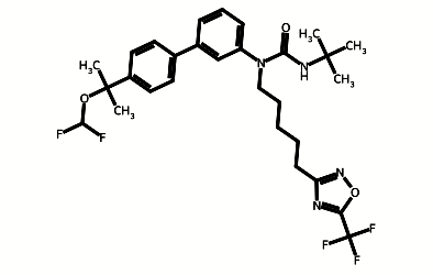 CC(C)(C)NC(=O)N(CCCCCc1noc(C(F)(F)F)n1)c1cccc(-c2ccc(C(C)(C)OC(F)F)cc2)c1